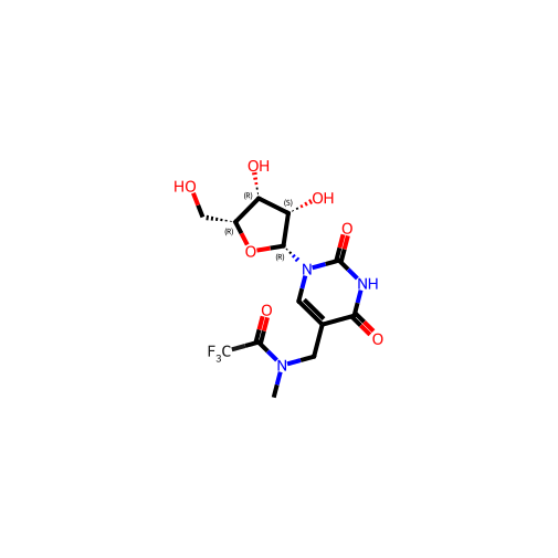 CN(Cc1cn([C@@H]2O[C@H](CO)[C@H](O)[C@@H]2O)c(=O)[nH]c1=O)C(=O)C(F)(F)F